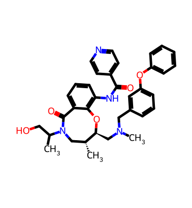 CC(CO)N1C[C@@H](C)[C@H](CN(C)Cc2cccc(Oc3ccccc3)c2)Oc2c(NC(=O)c3ccncc3)cccc2C1=O